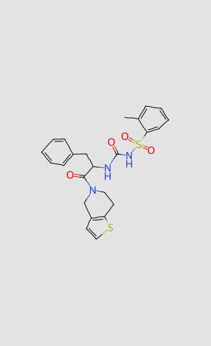 Cc1ccccc1S(=O)(=O)NC(=O)NC(Cc1ccccc1)C(=O)N1CCc2sccc2C1